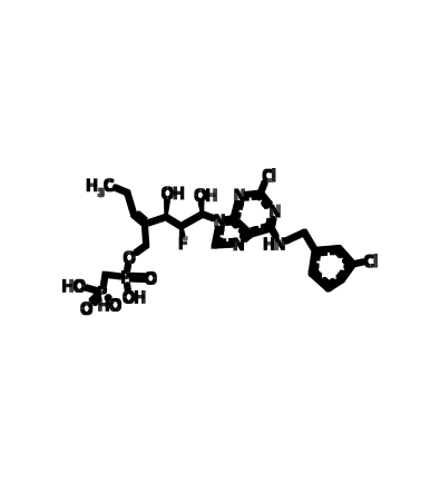 CC/C=C(/COP(=O)(O)CP(=O)(O)O)[C@@H](O)[C@H](F)[C@@H](O)n1cnc2c(NCc3cccc(Cl)c3)nc(Cl)nc21